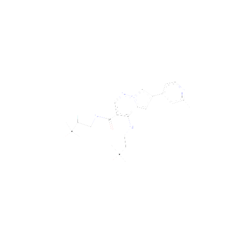 Cc1cc(-c2cc3c(NCCC(C)(C)O)c(C(=O)NCC(F)C(C)(C)O)cnn3c2)ccn1